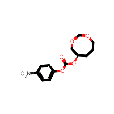 O=C(Oc1ccc([N+](=O)[O-])cc1)O[C@@H]1CCCOCOC1